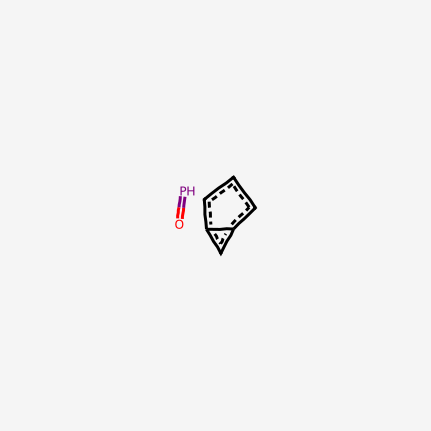 O=P.c1cc2cc-2c1